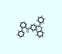 c1ccc(-c2ccccc2Nc2ccc3c(c2)-c2ccccc2CN3c2ccccc2)cc1